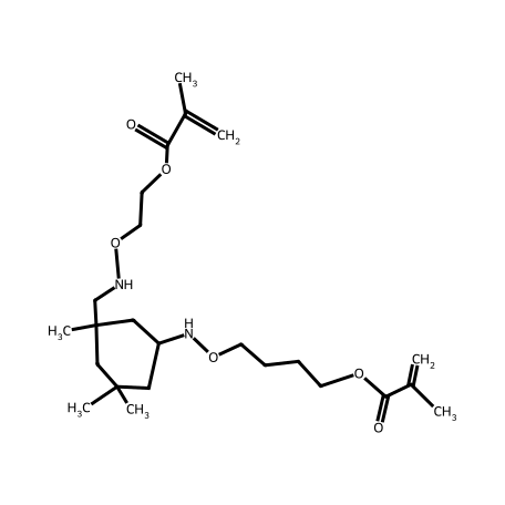 C=C(C)C(=O)OCCCCONC1CC(C)(C)CC(C)(CNOCCOC(=O)C(=C)C)C1